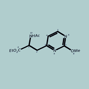 CCOC(=O)C(Cc1ccnc(OC)n1)NC(C)=O